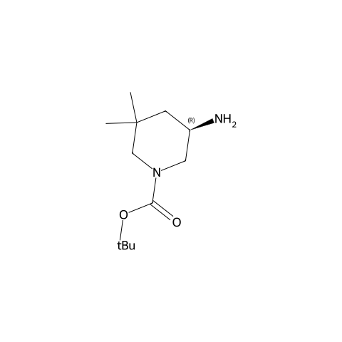 CC1(C)C[C@@H](N)CN(C(=O)OC(C)(C)C)C1